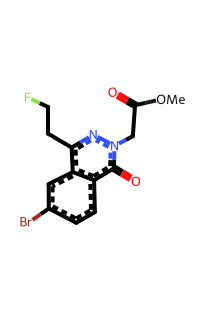 COC(=O)Cn1nc(CCF)c2cc(Br)ccc2c1=O